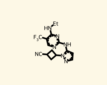 CCNc1nc(Nc2ccnn2C2CC(C#N)C2)ncc1C(F)(F)F